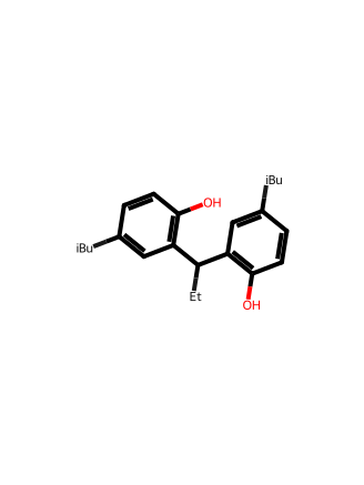 CCC(C)c1ccc(O)c(C(CC)c2cc(C(C)CC)ccc2O)c1